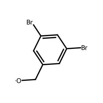 [O]Cc1cc(Br)cc(Br)c1